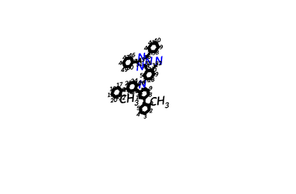 Cc1ccccc1-c1ccc2c(c1)c1cc(-c3ccccc3C)ccc1n2-c1ccc(C#N)c(-c2nc(-c3ccccc3)nc(-c3ccccc3)n2)c1